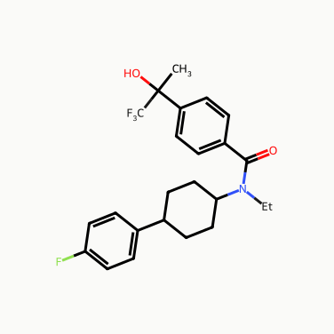 CCN(C(=O)c1ccc(C(C)(O)C(F)(F)F)cc1)C1CCC(c2ccc(F)cc2)CC1